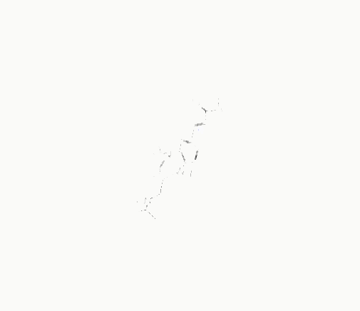 COC(=O)/C=C/c1ccc(NCCNC(C)C)c([N+](=O)[O-])c1